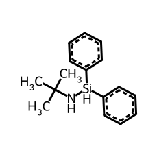 CC(C)(C)N[SiH](c1ccccc1)c1ccccc1